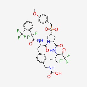 COc1ccc(CS(=O)(=O)[C@@H]2C[C@@H](C(=O)NC(C(=O)C(F)(F)F)C(C)C)N(C(=O)C(Cc3ccc(CNC(=O)O)cc3)NC(=O)C(F)(F)c3ccccc3C(F)(F)F)C2)cc1